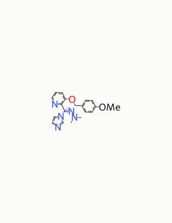 COc1ccc(COc2cccnc2/C(=N/N(C)C)n2ccnc2)cc1